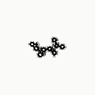 CC1(C)c2ccccc2-c2ccc(N3C4C=CCC[C@@H]4C4=CC(c5ccc6c(c5)c5ccccc5n6-c5cc(-c6ccccc6)nc(-c6ccccc6)n5)=CC[C@@H]43)cc21